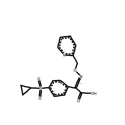 O=C(O)/C(=N/OCc1ccccn1)c1ccc(S(=O)(=O)C2CC2)cc1